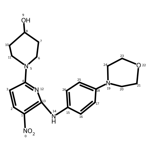 O=[N+]([O-])c1ccc(N2CCC(O)CC2)nc1Nc1ccc(N2CCOCC2)cc1